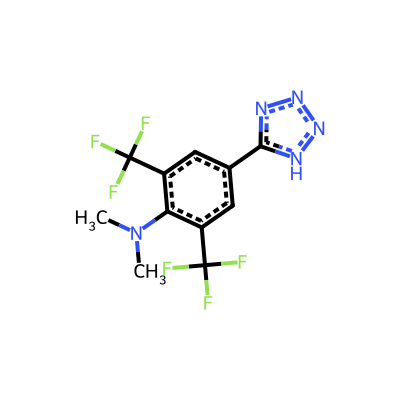 CN(C)c1c(C(F)(F)F)cc(-c2nnn[nH]2)cc1C(F)(F)F